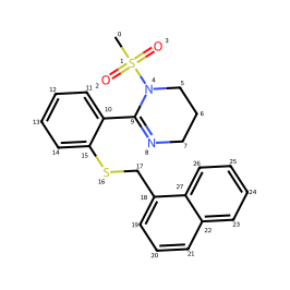 CS(=O)(=O)N1CCCN=C1c1ccccc1SCc1cccc2ccccc12